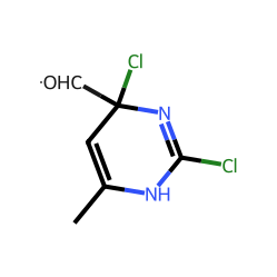 CC1=CC(Cl)([C]=O)N=C(Cl)N1